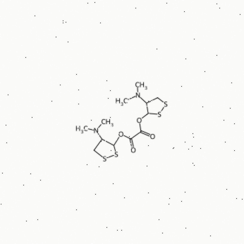 CN(C)C1CSSC1OC(=O)C(=O)OC1SSCC1N(C)C